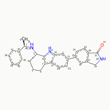 C[C@@H](NC1CCCc2c1[nH]c1cc(-c3ccc4c(c3)CNC4=O)ccc21)c1ccccc1